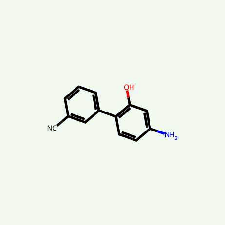 N#Cc1cccc(-c2ccc(N)cc2O)c1